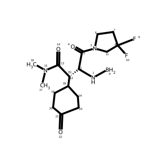 BNC(C(=O)N1CCC(F)(F)C1)[C@@H](C(=O)N(C)C)C1CCC(=O)CC1